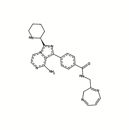 Nc1nccn2c([C@@H]3CCCCN3)nc(-c3ccc(C(=O)NCC4=NC=CC=NC4)cc3)c12